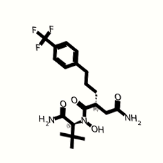 CC(C)(C)[C@@H](C(N)=O)N(O)C(=O)[C@H](CCCc1ccc(C(F)(F)F)cc1)CC(N)=O